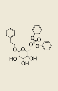 O=P(OC[C@H]1OC(OCCc2ccccc2)[C@@H](O)[C@@H](O)[C@@H]1O)(Oc1ccccc1)Oc1ccccc1